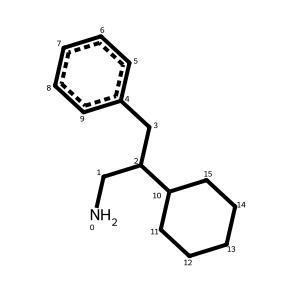 NCC(Cc1ccccc1)C1CCCCC1